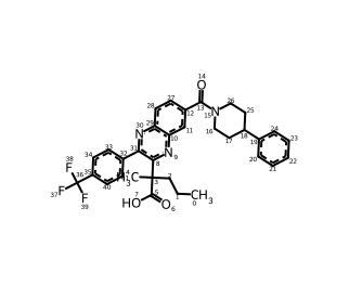 CCCC(C)(C(=O)O)c1nc2cc(C(=O)N3CCC(c4ccccc4)CC3)ccc2nc1-c1ccc(C(F)(F)F)cc1